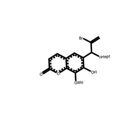 C=C(Br)C(CCCCCCC)c1cc2ccc(=O)oc2c(OC)c1O